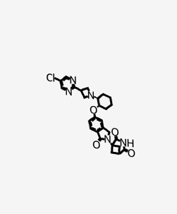 O=C1NC(=O)C2(N3Cc4cc(O[C@@H]5CCCC[C@@H]5N5CC(c6ncc(Cl)cn6)C5)ccc4C3=O)CC1C2